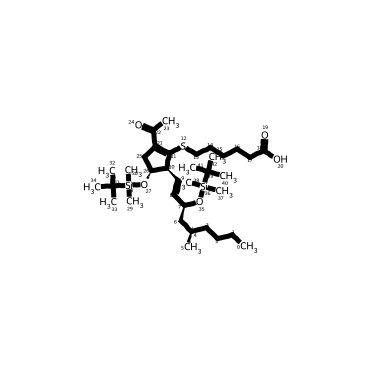 CCCC[C@@H](C)C[C@@H](/C=C/[C@@H]1C(SCCCCCC(=O)O)=C(C(C)=O)C[C@H]1O[Si](C)(C)C(C)(C)C)O[Si](C)(C)C(C)(C)C